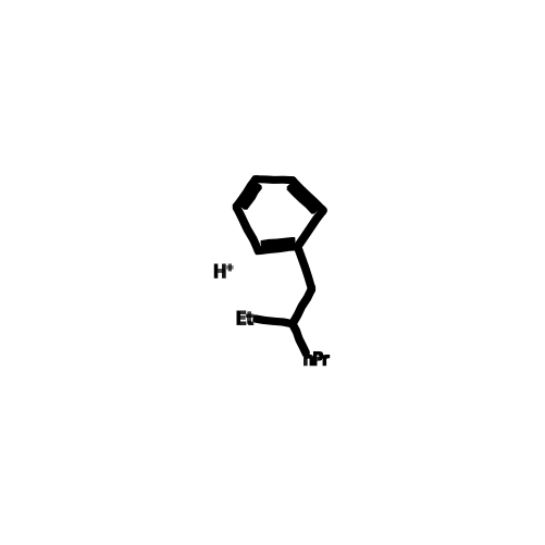 CCCC(CC)Cc1ccccc1.[H+]